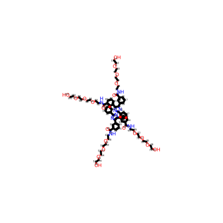 O=C(NCCOCCOCCOCCO)c1cccc(C2=NC(c3ccccc3)(n3c(-c4ccccc4)nc(-c4cccc(C(=O)NCCOCCOCCOCCO)c4)c3-c3cccc(C(=O)NCCOCCOCCOCCO)c3)N=C2c2cccc(C(=O)NCCOCCOCCOCCO)c2)c1